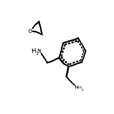 C1CO1.NCc1ccccc1CN